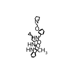 Cc1c(C(=O)NC(CCC2CC2)C(=O)NCc2cccc(OCCN3CCCC3)c2)[nH]c2ccccc12